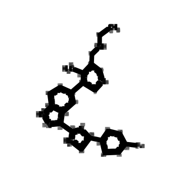 CCNCc1cncc(-c2ccc3[nH]nc(-c4nc(-c5ccc(F)cc5)c[nH]4)c3c2)c1C